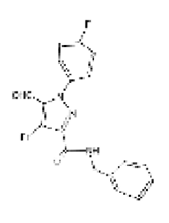 CC(C)c1c(C(=O)NCc2ccccc2)nn(-c2ccc(F)cc2)c1C=O